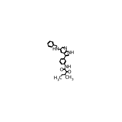 CCC(C)C(=O)C(=O)Nc1cccc(-c2c[nH]c3ncc(NCc4ccccc4)cc23)c1